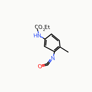 CCOC(=O)Nc1ccc(C)c(N=C=O)c1